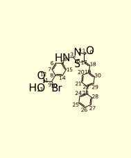 O=C1N=C(Nc2ccc(C(Br)C(=O)O)cc2)SC1=Cc1ccc(-c2ccccc2)cc1